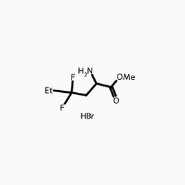 Br.CCC(F)(F)CC(N)C(=O)OC